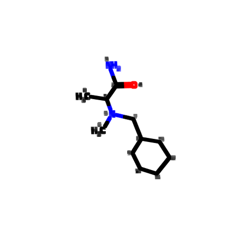 CC(C(N)=O)N(C)CC1CCCCC1